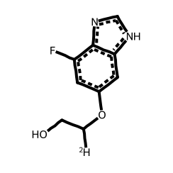 [2H]C(CO)Oc1cc(F)c2nc[nH]c2c1